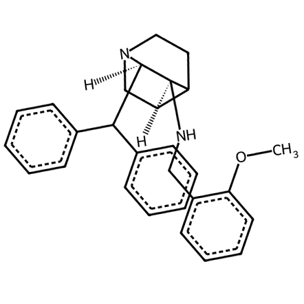 COc1ccccc1CN[C@@H]1C2CCN(CC2)[C@@H]1C(c1ccccc1)c1ccccc1